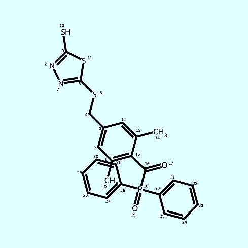 Cc1cc(CSc2nnc(S)s2)cc(C)c1C(=O)P(=O)(c1ccccc1)c1ccccc1